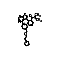 CN(C)C(=O)c1ccccc1-c1csc2ncnc(N3CCC(COCCN4CCCC4)CC3)c12